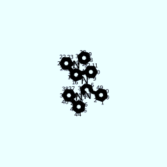 c1ccc(-c2cc(-n3c4ccccc4c4c3ccc3c5ccccc5n(-c5ccccc5)c34)cc(-n3c4ccccc4c4ccccc43)n2)cc1